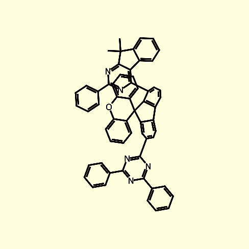 CC1(C)c2ccccc2-c2c(-c3cccc4c3C3(c5ccccc5Oc5ccccc53)c3cc(-c5nc(-c6ccccc6)nc(-c6ccccc6)n5)ccc3-4)nc(-c3ccccc3)nc21